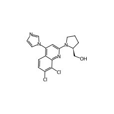 OC[C@@H]1CCCN1c1cc(-n2ccnc2)c2ccc(Cl)c(Cl)c2n1